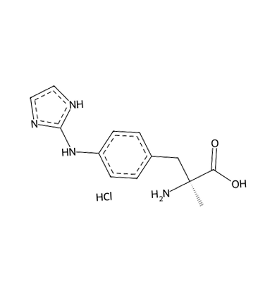 C[C@](N)(Cc1ccc(Nc2ncc[nH]2)cc1)C(=O)O.Cl